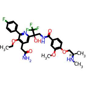 CCOc1c(CC(N)=O)cc([C@@](O)(CNC(=O)c2ccc(OC[C@@H](C)NC)c(OC)c2)C(F)(F)F)nc1-c1ccc(F)cc1